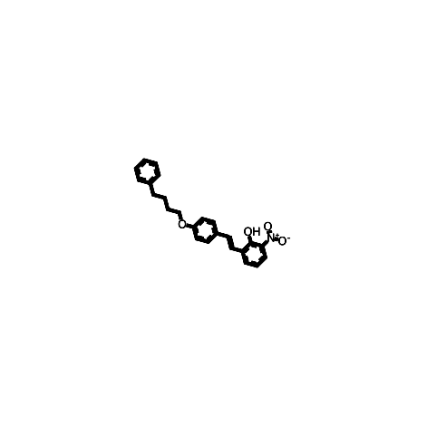 O=[N+]([O-])c1cccc(C=Cc2ccc(OCCCCc3ccccc3)cc2)c1O